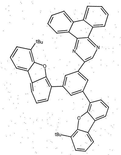 CC(C)(C)c1cccc2c1oc1c(-c3cc(-c4cnc5c6ccccc6c6ccccc6c5n4)cc(-c4cccc5c4oc4c(C(C)(C)C)cccc45)c3)cccc12